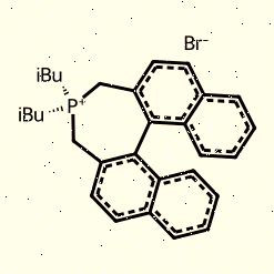 CC[C@@H](C)[P+]1([C@@H](C)CC)Cc2ccc3ccccc3c2-c2c(ccc3ccccc23)C1.[Br-]